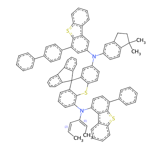 C/C=C\C(=C/C)N(c1cccc2c1Sc1ccc(N(c3ccc4c(c3)CCC4(C)C)c3cc(-c4ccc(-c5ccccc5)cc4)c4sc5ccccc5c4c3)cc1C21c2ccccc2-c2ccccc21)c1ccc(-c2ccccc2)c2sc3ccccc3c12